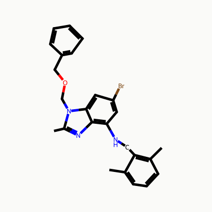 Cc1cccc(C)c1CNc1cc(Br)cc2c1nc(C)n2COCc1ccccc1